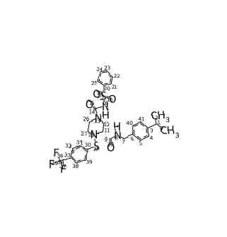 CC(C)c1ccc(CNC(=O)[C@H]2CN(C(=O)NS(=O)(=O)c3ccccc3)CCN2Sc2ccc(C(F)(F)F)cc2)cc1